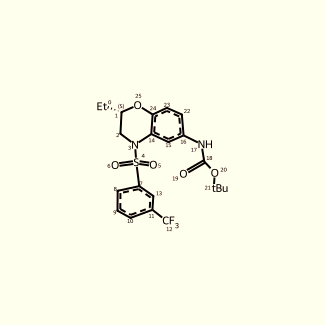 CC[C@H]1CN(S(=O)(=O)c2cccc(C(F)(F)F)c2)c2cc(NC(=O)OC(C)(C)C)ccc2O1